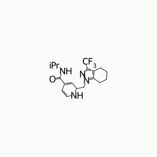 CC(C)NC(=O)C1=CC(Cn2nc(C(F)(F)F)c3c2CCCC3)NC=C1